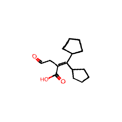 O=CCC(C(=O)O)=C(C1CCCC1)C1CCCC1